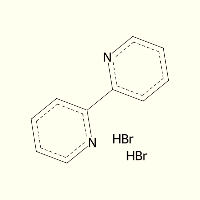 Br.Br.c1ccc(-c2ccccn2)nc1